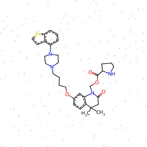 CC1(C)CC(=O)N(COC(=O)C2CCCN2)c2cc(OCCCCN3CCN(c4cccc5sccc45)CC3)ccc21